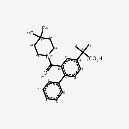 CC(C)(C(=O)O)c1ccc(-c2ccccc2)c(C(=O)N2CCC(F)(F)CC2)c1